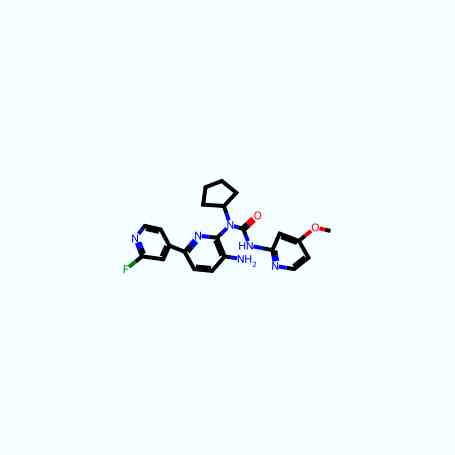 COc1ccnc(NC(=O)N(c2nc(-c3ccnc(F)c3)ccc2N)C2CCCC2)c1